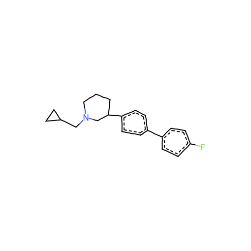 Fc1ccc(-c2ccc(C3CCCN(CC4CC4)C3)cc2)cc1